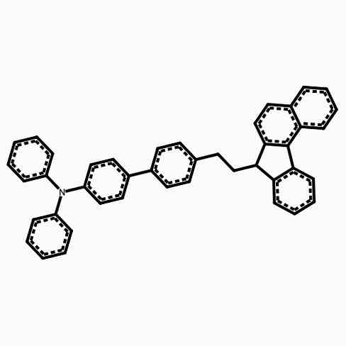 c1ccc(N(c2ccccc2)c2ccc(-c3ccc(CCC4c5ccccc5-c5c4ccc4ccccc54)cc3)cc2)cc1